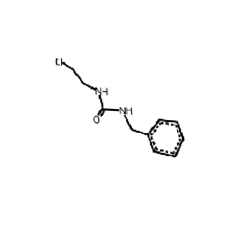 O=C(NCCCl)NCc1ccccc1